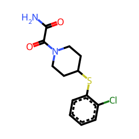 NC(=O)C(=O)N1CCC(Sc2ccccc2Cl)CC1